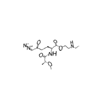 CCNCCOC(=O)[C@H](CCC(=O)C=[N+]=[N-])NC(=O)[C@H](C)OC